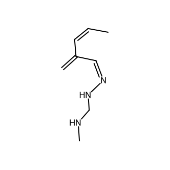 C=C(/C=C\C)/C=N\NCNC